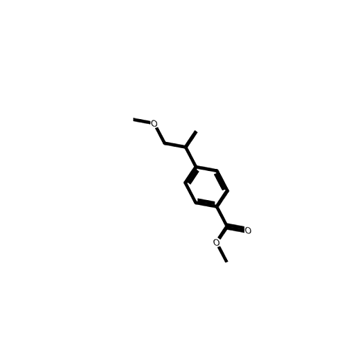 COCC(C)c1ccc(C(=O)OC)cc1